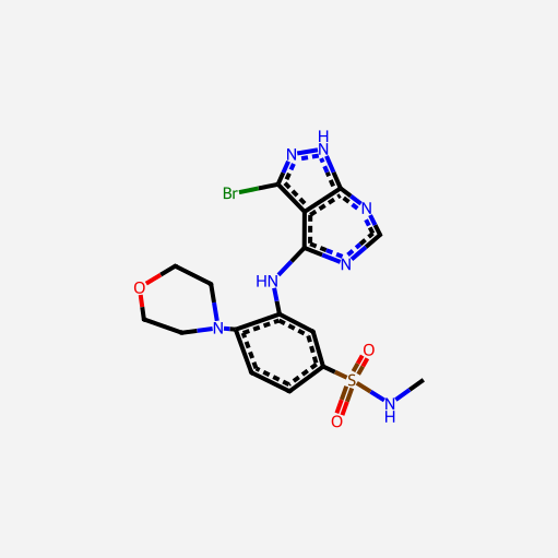 CNS(=O)(=O)c1ccc(N2CCOCC2)c(Nc2ncnc3[nH]nc(Br)c23)c1